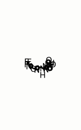 O=C1[C@@H]2COCCN2c2nc(NCc3ccc(Oc4ccc(C(F)(F)F)nc4)nc3)nc3c2N1CCC3